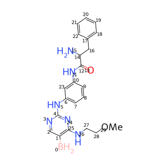 Bc1cnc(Nc2cccc(NC(=O)C(N)Cc3ccccc3)c2)nc1NCCOC